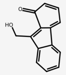 O=C1C=CC=C2C1=C(CO)c1ccccc12